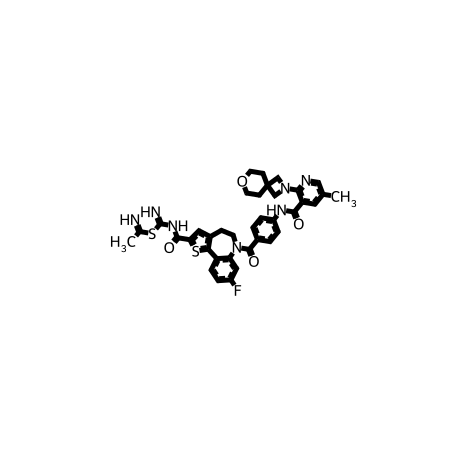 CC(=N)SC(=N)NC(=O)c1cc2c(s1)-c1ccc(F)cc1N(C(=O)c1ccc(NC(=O)c3cc(C)cnc3N3CC4(CCOCC4)C3)cc1)CC2